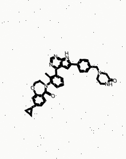 Cc1c(-c2ncnc3[nH]c(-c4ccc(CN5CCNC(=O)C5)cc4)cc23)cccc1N1CCOc2cc(C3CC3)ccc2C1=O